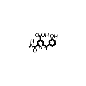 CNC(=O)c1cc(C(=O)O)cc([C@H](C)c2cccc(O)c2)n1